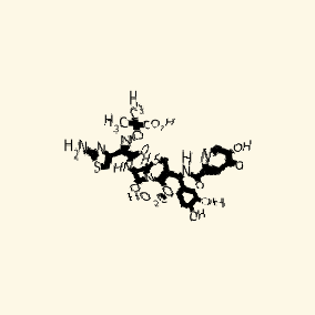 CC(C)(O/N=C(\C(=O)NC1C(=O)N2C(OC(=O)O)=C(C(NC(=O)C3=CC(=O)C(O)C=N3)c3ccc(O)c(O)c3)CS[C@@H]12)c1csc(N)n1)C(=O)O